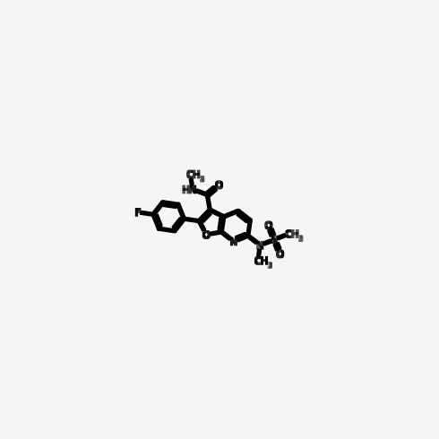 CNC(=O)c1c(-c2ccc(F)cc2)oc2nc(N(C)S(C)(=O)=O)ccc12